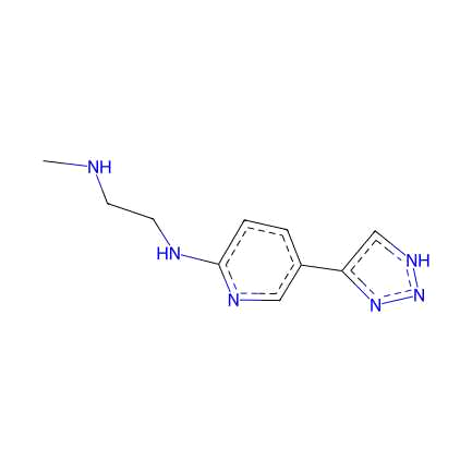 CNCCNc1ccc(-c2c[nH]nn2)cn1